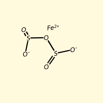 O=S([O-])OS(=O)[O-].[Fe+2]